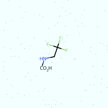 O=C(O)NCC(F)(F)F